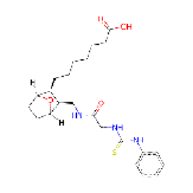 O=C(O)CCCCCC[C@H]1[C@@H](CNC(=O)CNC(=S)Nc2ccccc2)[C@H]2CC[C@@H]1O2